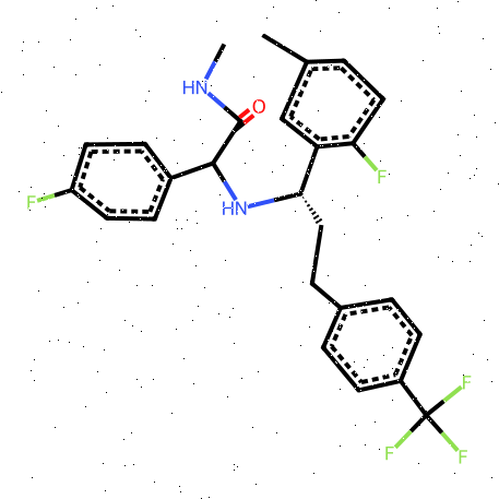 CNC(=O)C(N[C@@H](CCc1ccc(C(F)(F)F)cc1)c1cc(C)ccc1F)c1ccc(F)cc1